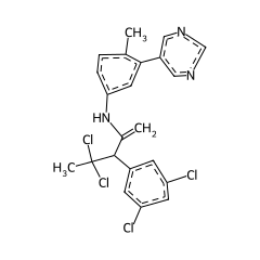 C=C(Nc1ccc(C)c(-c2cncnc2)c1)C(c1cc(Cl)cc(Cl)c1)C(C)(Cl)Cl